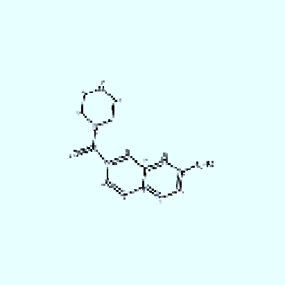 O=Cc1ccc2ccc(C(=O)N3CCOCC3)cc2n1